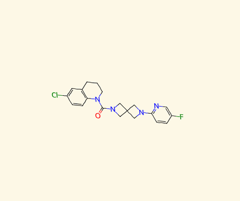 O=C(N1CC2(C1)CN(c1ccc(F)cn1)C2)N1CCCc2cc(Cl)ccc21